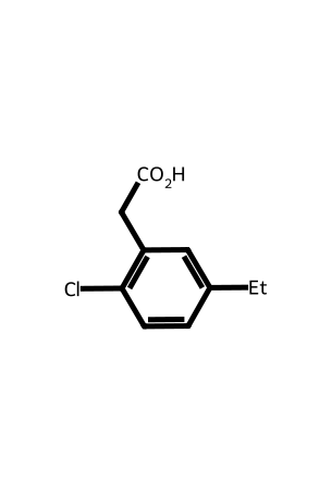 CCc1ccc(Cl)c(CC(=O)O)c1